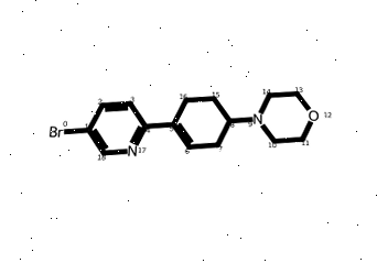 Brc1ccc(C2=CCC(N3CCOCC3)CC2)nc1